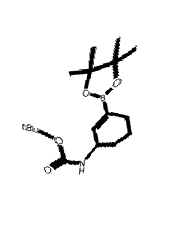 CC(C)(C)OC(=O)NC1C=C(B2OC(C)(C)C(C)(C)O2)CCC1